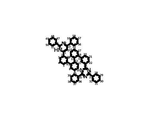 C1=C(c2cccc(-c3ccccc3-c3ccccc3-c3cccc(-c4nc(-c5ccccc5)nc(-c5ccccc5)n4)c3)c2)NC(c2ccccc2)N=C1c1ccccc1